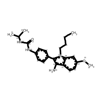 CCCCn1c(-c2ccc(NC(=O)NC(C)C)cc2)c(N)c2ccc(OC)cc21